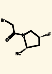 N#C[C@H]1C[C@@H](F)CN1C(=O)CBr